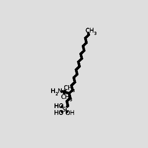 CCCCCCCCCCCCCCCCC(CCC[Si](O)(O)O)C(C)(C)N